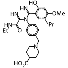 CCNC(=O)C(=N)N(C(=N)c1cc(C(C)C)c(OC)cc1O)c1ccc(CN2CCC(C(=O)O)CC2)cc1